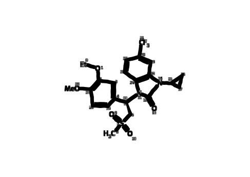 CCOc1cc([C@H](CS(C)(=O)=O)n2c(=O)n(C3CC3)c3cc(C(F)(F)F)ccc32)ccc1OC